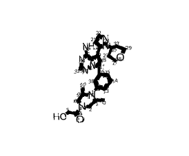 CC1CN(C(=O)CO)CC(C)N1c1cccc(-c2cc(-c3ccnn3C3CCOCC3)c3c(N)ncnn23)c1